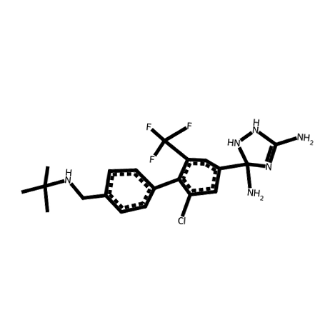 CC(C)(C)NCc1ccc(-c2c(Cl)cc(C3(N)N=C(N)NN3)cc2C(F)(F)F)cc1